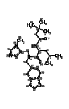 CC(C)C[C@H](NC(=O)CC(C)(C)C)C(=O)N(Cc1ccc2occc2c1)Cc1cncn1C